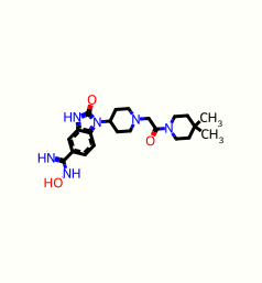 CC1(C)CCN(C(=O)CN2CCC(n3c(=O)[nH]c4cc(C(=N)NO)ccc43)CC2)CC1